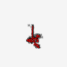 COc1cc2c(cc1OCc1cccc(COc3cc4c(cc3OC)C(=O)N3CC5(CC5)C[C@H]3[C@H](O)N4C(=O)OCc3ccc(NC(=O)[C@H](CO[C@@H]4O[C@H](C(=O)O)[C@@H](O)[C@H](O)[C@H]4O)NC(=O)[C@@H](NC(C)=O)C(C)C)cc3NC(=O)CCOCCOCCOCCOCCN)c1)NC[C@@H]1CC3(CC3)CC1C2=O